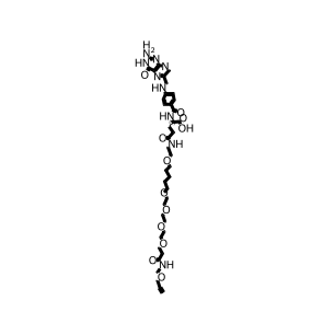 C#CCOCNC(=O)CCOCCOCCOCCOCCCCCOCCNC(=O)CC[C@H](NC(=O)c1ccc(NCc2cnc3nc(N)[nH]c(=O)c3n2)cc1)C(=O)O